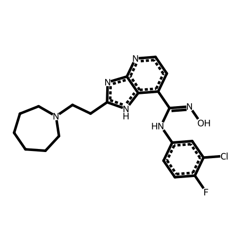 O/N=C(\Nc1ccc(F)c(Cl)c1)c1ccnc2nc(CCN3CCCCCC3)[nH]c12